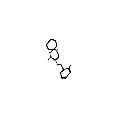 Cc1ccccc1CO[C@@H]1COC2(CCCCC2)O[C@@H]1C